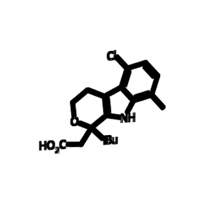 CCC(C)C1(CC(=O)O)OCCc2c1[nH]c1c(C)ccc(Cl)c21